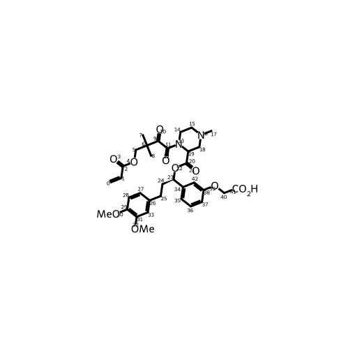 C=CC(=O)OCC(C)(C)C(=O)C(=O)N1CCN(C)CC1C(=O)O[C@H](CCc1ccc(OC)c(OC)c1)c1cccc(OCC(=O)O)c1